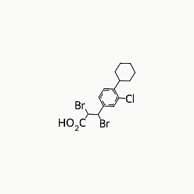 O=C(O)C(Br)C(Br)c1ccc(C2CCCCC2)c(Cl)c1